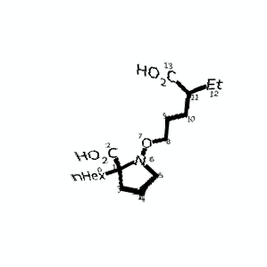 CCCCCCC1(C(=O)O)CCCN1OCCCC(CC)C(=O)O